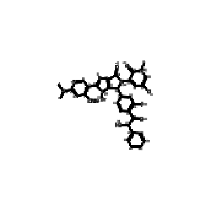 COc1nc(N(C)C)ncc1-c1nc2c(n1C(C)C)C(c1ccc(C(=O)C(O)c3ccccc3)c(F)c1)N(c1cc(Cl)cn(C)c1=O)C2=O